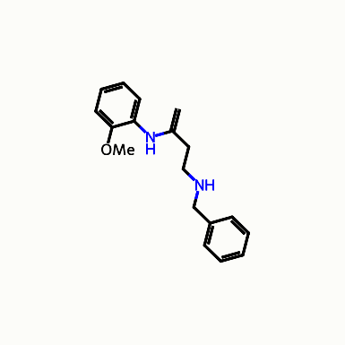 C=C(CCNCc1ccccc1)Nc1ccccc1OC